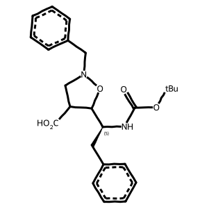 CC(C)(C)OC(=O)N[C@@H](Cc1ccccc1)C1ON(Cc2ccccc2)CC1C(=O)O